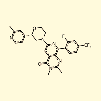 Cc1cc([C@H]2CN(c3cc4c(=O)n(C)c(C)nc4c(-c4ccc(C(F)(F)F)cc4F)n3)CCO2)ccn1